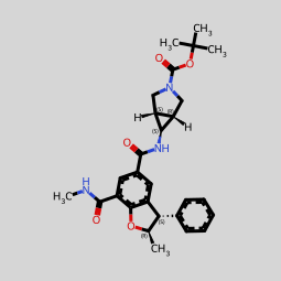 CNC(=O)c1cc(C(=O)N[C@H]2[C@@H]3CN(C(=O)OC(C)(C)C)C[C@@H]32)cc2c1O[C@H](C)[C@H]2c1ccccc1